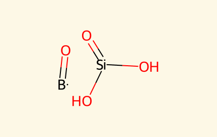 O=[Si](O)O.[B]=O